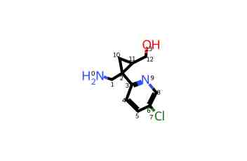 NCC1(c2ccc(Cl)cn2)CC1CO